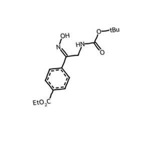 CCOC(=O)c1ccc(/C(CNC(=O)OC(C)(C)C)=N/O)cc1